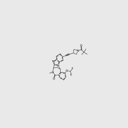 CN1C(=O)c2cccc(OC(F)F)c2C2CC1c1nc3ccc(C#CC4CN(C(=O)C(C)(C)C)C4)cc3n12